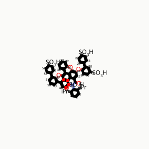 CC(C)c1cccc(C(C)C)c1-n1c(=O)c2cc(Oc3ccc(S(=O)(=O)O)cc3-c3ccc(S(=O)(=O)O)cc3)c3oc4ccccc4c4c(Oc5c(-c6ccc(S(=O)(=O)O)cc6)cccc5-c5ccc(S(=O)(=O)O)cc5)cc(c1=O)c2c34